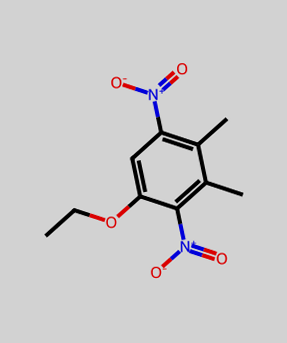 CCOc1cc([N+](=O)[O-])c(C)c(C)c1[N+](=O)[O-]